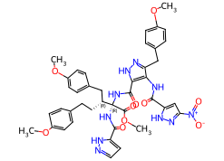 COC(=O)[C@](NC(=O)c1ccn[nH]1)(NC(=O)c1[nH]nc(Cc2ccc(OC)cc2)c1NC(=O)c1cc([N+](=O)[O-])n[nH]1)[C@H](CCc1ccc(OC)cc1)Cc1ccc(OC)cc1